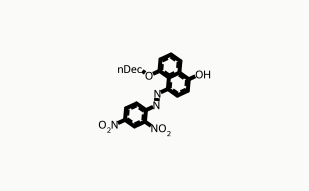 CCCCCCCCCCOc1cccc2c(O)ccc(N=Nc3ccc([N+](=O)[O-])cc3[N+](=O)[O-])c12